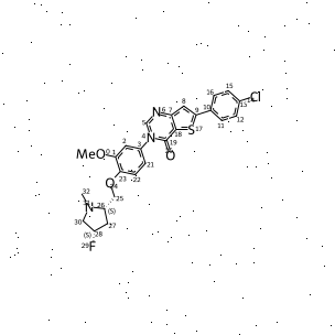 COc1cc(-n2cnc3cc(-c4ccc(Cl)cc4)sc3c2=O)ccc1OC[C@@H]1C[C@H](F)CN1C